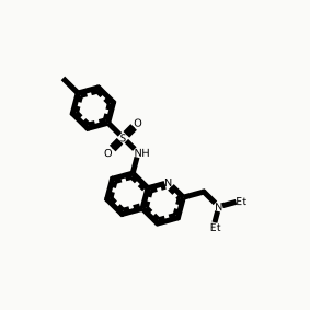 CCN(CC)Cc1ccc2cccc(NS(=O)(=O)c3ccc(C)cc3)c2n1